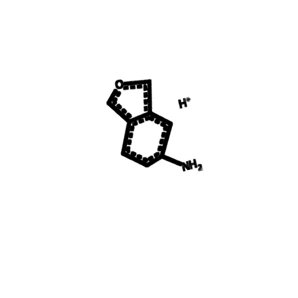 Nc1ccc2cocc2c1.[H+]